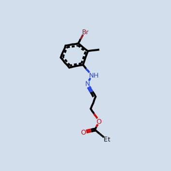 CCC(=O)OCC=NNc1cccc(Br)c1C